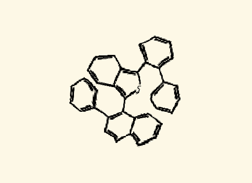 c1ccc(-c2ccccc2-c2sc(-c3c(-c4ccccc4)ccc4ccccc34)c3ccccc23)cc1